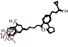 C=C(F)/C=C\C(=C/C)C(C)C/C(=C\CCCC(=C)c1ccc(CCC(=C)C2CC2)cc1C1CCCC1)CC(=C)CC(C)(C)C